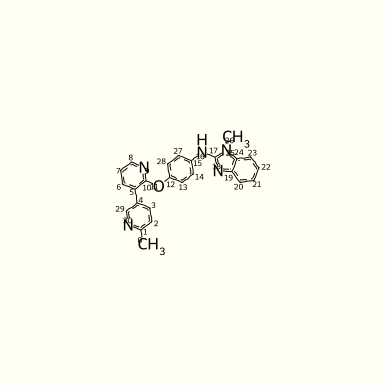 Cc1ccc(-c2cccnc2Oc2ccc(Nc3nc4ccccc4n3C)cc2)cn1